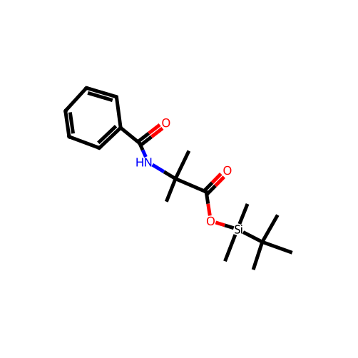 CC(C)(NC(=O)c1ccccc1)C(=O)O[Si](C)(C)C(C)(C)C